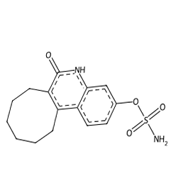 NS(=O)(=O)Oc1ccc2c3c(c(=O)[nH]c2c1)CCCCCC3